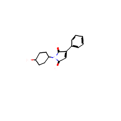 O=C1C=C(c2ccccc2)C(=O)N1C1CCC(O)CC1